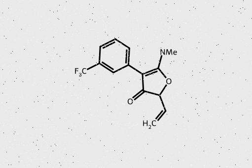 C=CC1OC(NC)=C(c2cccc(C(F)(F)F)c2)C1=O